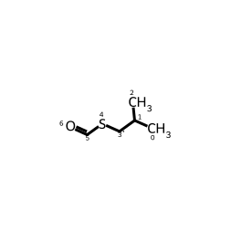 CC(C)[CH]SC=O